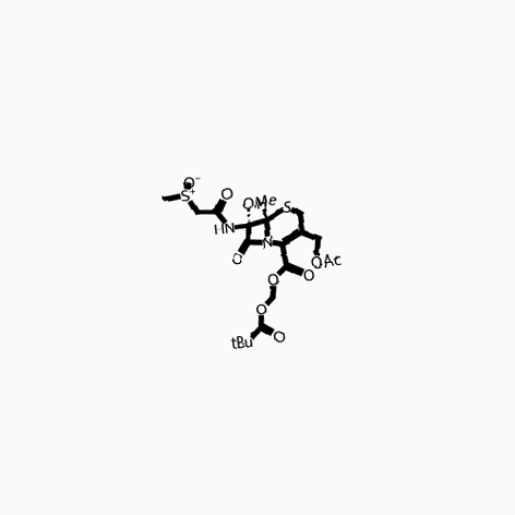 CO[C@@]1(NC(=O)C[S+](C)[O-])C(=O)N2C(C(=O)OCOC(=O)C(C)(C)C)=C(COC(C)=O)CS[C@H]21